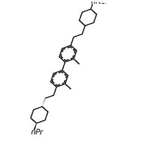 CCCCCCCCCC1CCC(CCc2ccc(-c3ccc(CC[C@H]4CC[C@H](CCC)CC4)c(C)c3)c(C)c2)CC1